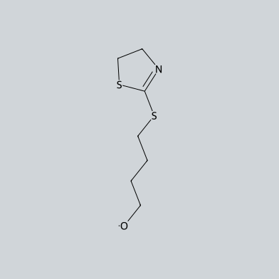 [O]CCCCSC1=NCCS1